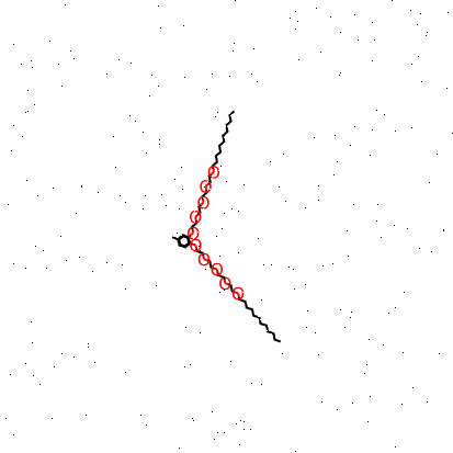 CCCCCCCCCCCCOCCOCCOCCOCCOc1ccc(C)cc1OCCOCCOCCOCCOCCCCCCCCCCCC